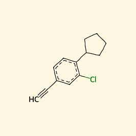 C#Cc1ccc(C2CCCC2)c(Cl)c1